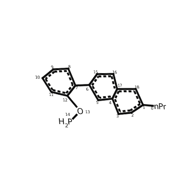 CCCc1ccc2cc(-c3ccccc3OP)ccc2c1